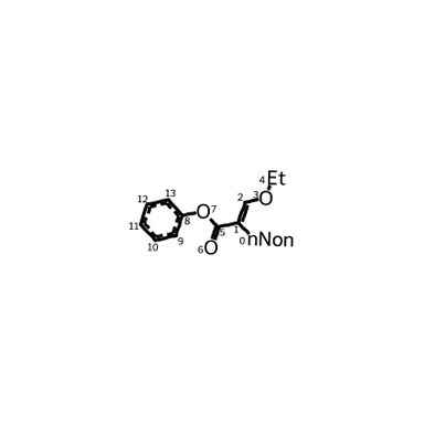 CCCCCCCCCC(=COCC)C(=O)Oc1ccccc1